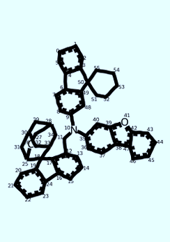 c1ccc2c(c1)-c1ccc(N(Cc3cccc4c3C3(c5ccccc5-4)C4CCC5CC(C4)CC3C5)c3ccc4c(c3)oc3ccccc34)cc1C21CCCCC1